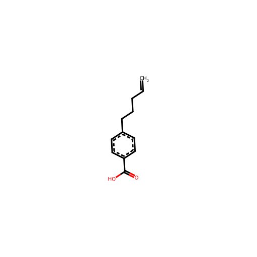 C=CCCCc1ccc(C(=O)O)cc1